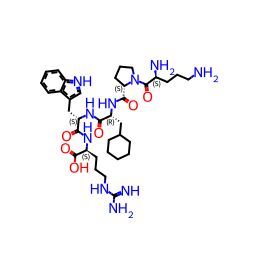 N=C(N)NCCC[C@H](NC(=O)[C@H](Cc1c[nH]c2ccccc12)NC(=O)[C@@H](CC1CCCCC1)NC(=O)[C@@H]1CCCN1C(=O)[C@@H](N)CCCN)C(=O)O